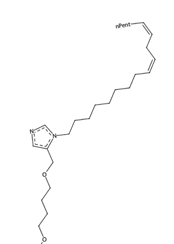 CCCCC/C=C\C/C=C\CCCCCCCCn1cncc1COCCCCOC=O